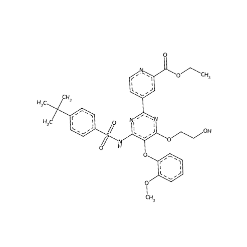 CCOC(=O)c1cc(-c2nc(NS(=O)(=O)c3ccc(C(C)(C)C)cc3)c(Oc3ccccc3OC)c(OCCO)n2)ccn1